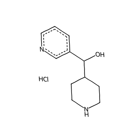 Cl.OC(c1cccnc1)C1CCNCC1